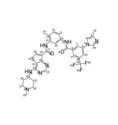 Cc1cn(-c2cc(C(=O)Nc3ccc(C)c(NC(=O)c4csc5c(NC6CCN(C)CC6)ncnc45)c3)cc(C(F)(F)F)c2)cn1